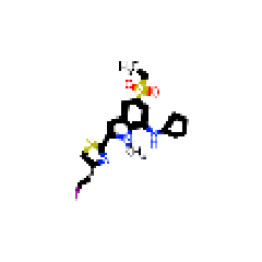 CCS(=O)(=O)c1cc(NC2CCCC2)c2c(c1)cc(C1=N[C@H](CCI)CS1)n2C